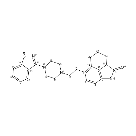 O=C1Nc2ccc(CCN3CCN(c4nsc5ccccc45)CC3)c3c2C1CCC3